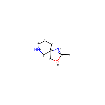 CC1=NC2(CCCNC2)CO1